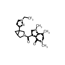 Cc1cn(C)c(=O)c2c(C(=O)N3CC4CC4(c4ccn(CC(F)(F)F)n4)C3)cn(C)c12